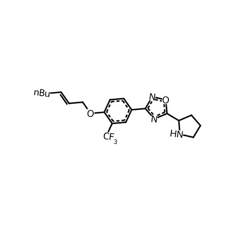 CCCC/C=C/COc1ccc(-c2noc(C3CCCN3)n2)cc1C(F)(F)F